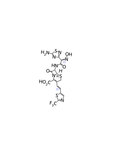 Nc1nc(/C(=N\O)C(=O)NC2C(=O)N3C(C(=O)O)=C(/C=C/c4cnc(C(F)(F)F)s4)CS[C@H]23)ns1